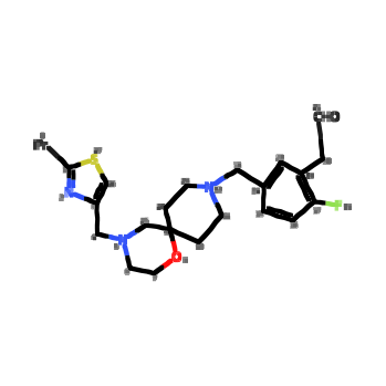 CC(C)c1nc(CN2CCOC3(CCN(Cc4ccc(F)c(CC=O)c4)CC3)C2)cs1